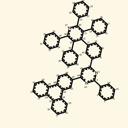 c1ccc(-c2nc(-c3cccc(-c4c(-c5ccccc5)c(-c5ccccc5)nc(-c5ccccc5)c4-c4ccccc4)c3)cc(-c3ccc4c5ccccc5c5ccccc5c4c3)n2)cc1